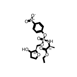 CCOC(=O)[C@H](C)NP(=O)(OC[C@H]1OCCC1O)Oc1ccc([N+](=O)[O-])cc1